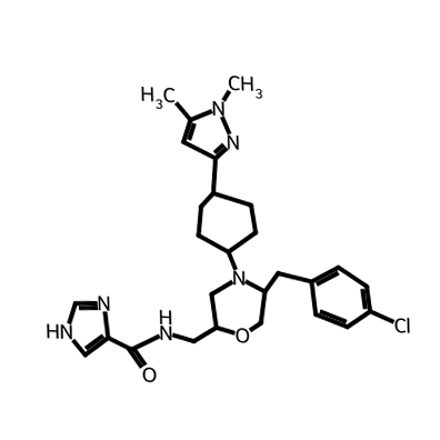 Cc1cc(C2CCC(N3CC(CNC(=O)c4c[nH]cn4)OCC3Cc3ccc(Cl)cc3)CC2)nn1C